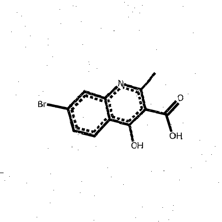 Cc1nc2cc(Br)ccc2c(O)c1C(=O)O